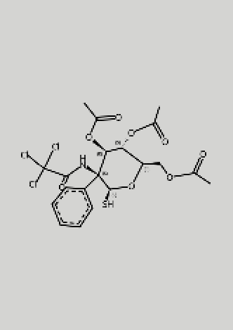 CC(=O)OC[C@H]1O[C@@H](S)[C@](NC(=O)C(Cl)(Cl)Cl)(c2ccccc2)[C@@H](OC(C)=O)[C@@H]1OC(C)=O